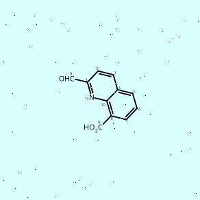 O=Cc1ccc2cccc(C(=O)O)c2n1